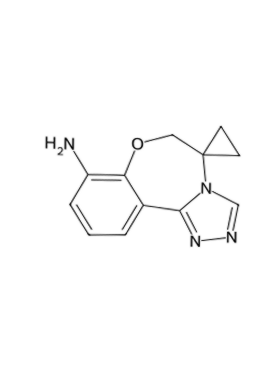 Nc1cccc2c1OCC1(CC1)n1cnnc1-2